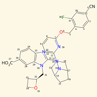 N#Cc1ccc(COc2cccc(N3CC4CCC(C3)N4Cc3nc4ccc(C(=O)O)cc4n3C[C@@H]3CCO3)n2)c(F)c1